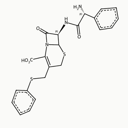 N[C@@H](C(=O)N[C@@H]1C(=O)N2C(C(=O)O)=C(CSc3ccccc3)CSC12)c1ccccc1